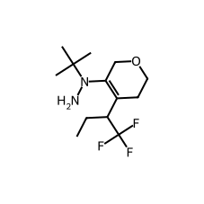 CCC(C1=C(N(N)C(C)(C)C)COCC1)C(F)(F)F